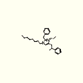 CCCCCCCCn1cc(CC(C)c2ccccc2)[n+](CCC)c1Cc1ccccc1